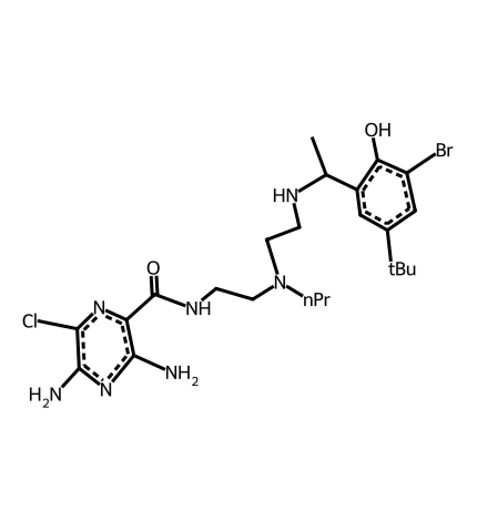 CCCN(CCNC(=O)c1nc(Cl)c(N)nc1N)CCNC(C)c1cc(C(C)(C)C)cc(Br)c1O